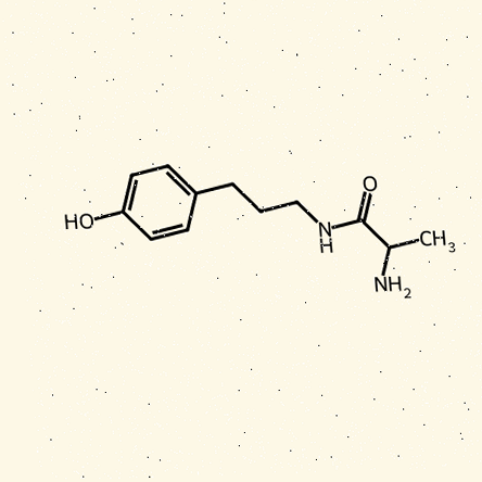 CC(N)C(=O)NCCCc1ccc(O)cc1